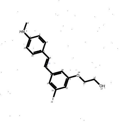 CNc1ccc(/C=C/c2cc(I)cc(OCCO)c2)cc1